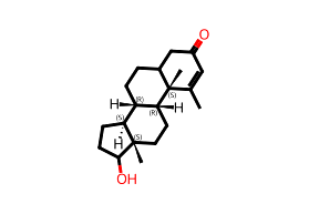 CC1=CC(=O)CC2CC[C@@H]3[C@@H](CC[C@]4(C)C(O)CC[C@@H]34)[C@@]12C